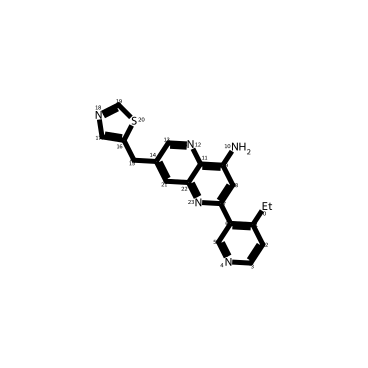 CCc1ccncc1-c1cc(N)c2ncc([CH]c3cncs3)cc2n1